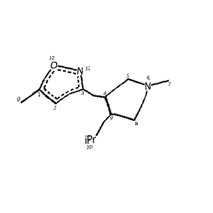 Cc1cc(C2CN(C)CC2C(C)C)no1